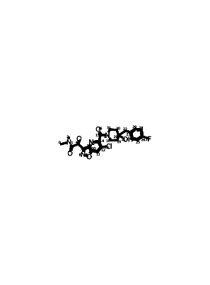 CN(C)C(=O)C(=O)c1noc2cc(Cl)c(C(=O)N3CCC(O)(Cc4ccc(F)cc4)CC3)nc12